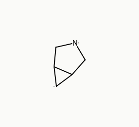 [CH]1C2C[N]CC12